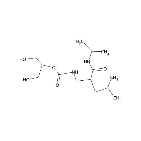 CC(C)CC(CNC(=O)OC(CO)CO)C(=O)NC(C)C